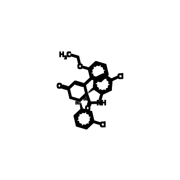 CCOc1ccccc1C1=CC(=O)C[C@@H](c2cccc(Cl)c2)[C@]12C(=O)Nc1cc(Cl)ccc12